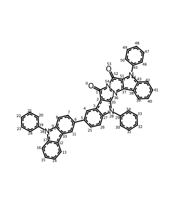 O=c1c2c3cc(-c4ccc5c(c4)c4ccccc4n5-c4ccccc4)ccc3n(-c3ccccc3)c2n2c3c4ccccc4n(-c4ccccc4)c3c(=O)n12